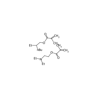 C=C(C)C(=O)OCC(CC)CCCC.C=C(C)C(=O)OCCN(CC)CC